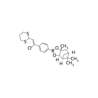 CC1(C)[C@H]2C[C@@H]1[C@H]1OB(c3ccc(/C(Cl)=C/C4SCCCS4)cc3)O[C@]1(C)C2